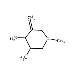 C=C1CN(C)CC(C)C1N